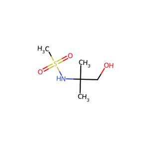 CC(C)(CO)NS(C)(=O)=O